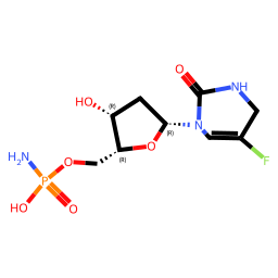 NP(=O)(O)OC[C@H]1O[C@@H](N2C=C(F)CNC2=O)C[C@H]1O